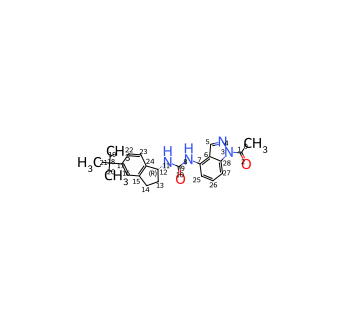 CC(=O)n1ncc2c(NC(=O)N[C@@H]3CCc4cc(C(C)(C)C)ccc43)cccc21